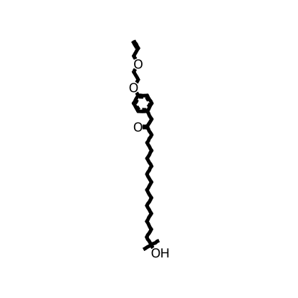 C=CCOCCOc1ccc(CC(=O)CCCCCCCCCCCCCCC(C)(C)O)cc1